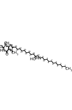 CCCCCCCCCCCCNCC(O)CCCCCCCCCc1nc2c(c(=O)[nH]c(=O)n2C)n1C